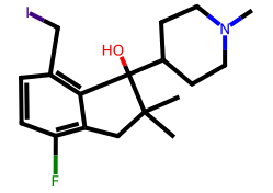 CN1CCC(C2(O)c3c(CI)ccc(F)c3CC2(C)C)CC1